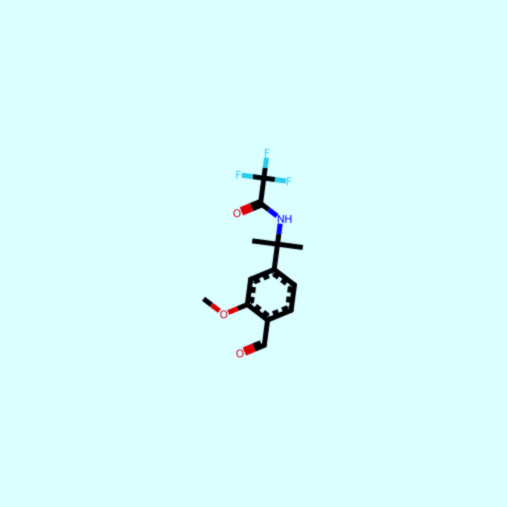 COc1cc(C(C)(C)NC(=O)C(F)(F)F)ccc1C=O